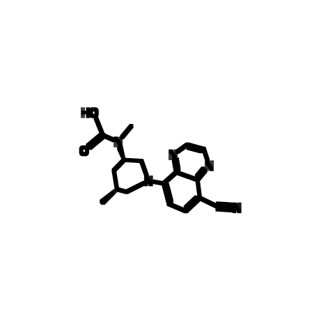 C[C@H]1C[C@@H](N(C)C(=O)O)CN(c2ccc(C#N)c3nccnc23)C1